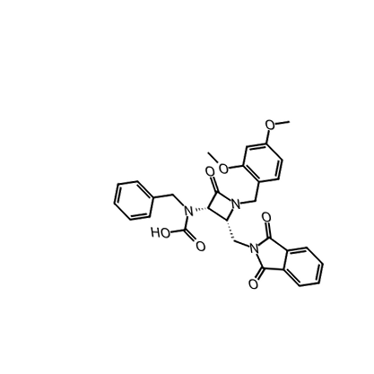 COc1ccc(CN2C(=O)[C@@H](N(Cc3ccccc3)C(=O)O)[C@H]2CN2C(=O)c3ccccc3C2=O)c(OC)c1